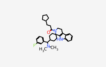 CN(C)C(c1cccc(F)c1)C1CCC2(CC1)c1[nH]c3ccccc3c1CCN2C(=O)CCC1CCCC1